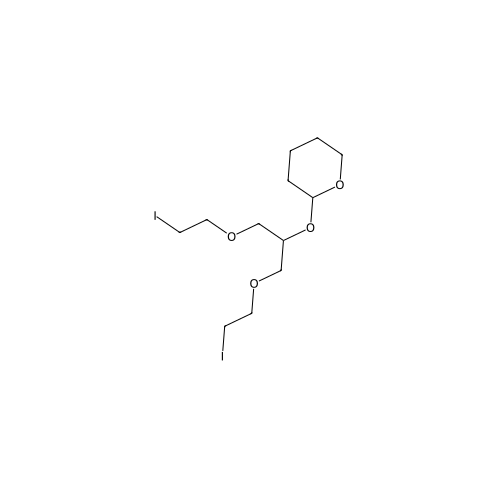 ICCOCC(COCCI)OC1CCCCO1